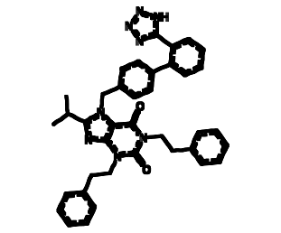 CC(C)c1nc2c(c(=O)n(CCc3ccccc3)c(=O)n2CCc2ccccc2)n1Cc1ccc(-c2ccccc2-c2nnn[nH]2)cc1